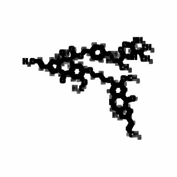 CC=CC1=CN2C(=O)c3cc(OC)c(OCCCOc4cc5c(cc4OC)C(=O)N4C=C(C=CC)C[C@H]4[C@H](O)N5C(=O)OCc4ccc(NNC(C)C(=O)NC(C(N)=O)C(C)C)cc4)cc3N=C[C@@H]2C1